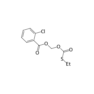 CCSC(=O)OCOC(=O)c1ccccc1Cl